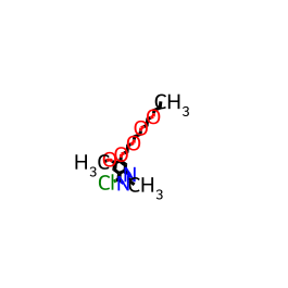 CCCOCCOCCOCCOc1cc2nc(C)nc(Cl)c2cc1OC